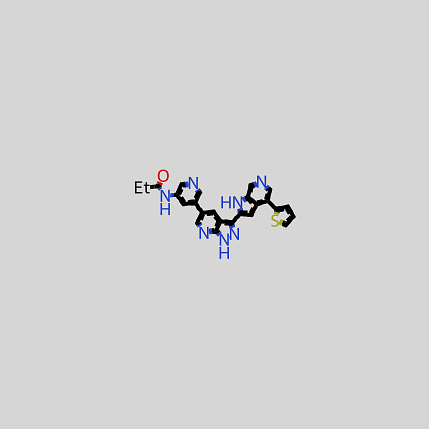 CCC(=O)Nc1cncc(-c2cnc3[nH]nc(-c4cc5c(-c6cccs6)cncc5[nH]4)c3c2)c1